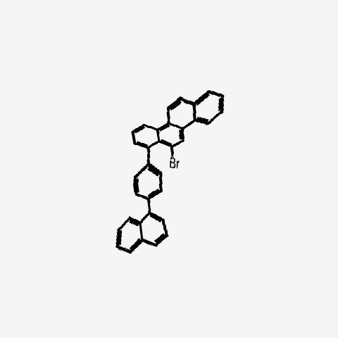 Brc1cc2c3ccccc3ccc2c2cccc(-c3ccc(-c4cccc5ccccc45)cc3)c12